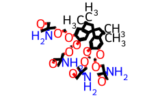 CC1(C)CC2(CC(C)(C)c3cc(OCOCC4(N)COC4)c(OCOCC4(N)COC4)cc32)c2cc(OCOCC3(N)COC3)c(OCOCC3(N)COC3)cc21